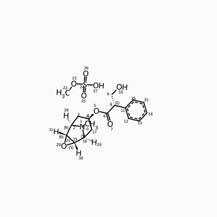 CN1[C@@H]2C[C@@H](OC(=O)[C@H](CO)c3ccccc3)C[C@H]1[C@@H]1O[C@@H]12.COS(=O)(=O)O